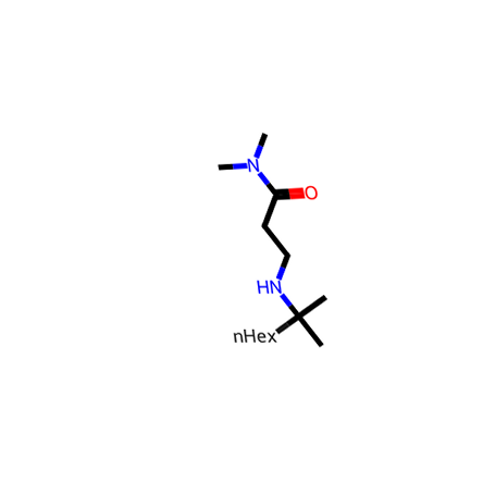 CCCCCCC(C)(C)NCCC(=O)N(C)C